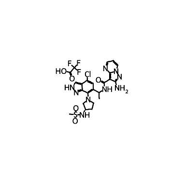 CC(NC(=O)c1c(N)nn2cccnc12)c1cc(Cl)c2c[nH]nc2c1N1CC[C@@H](NS(C)(=O)=O)C1.O=C(O)C(F)(F)F